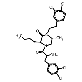 CCCC[C@H]1C(=O)N(CCc2ccc(Cl)c(Cl)c2)[C@H](C)CN1C(=O)C(N)Cc1ccc(Cl)c(Cl)c1